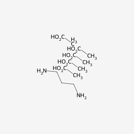 CC(=O)O.CC(=O)O.CC(=O)O.CC(=O)O.CC(=O)O.NCCCN